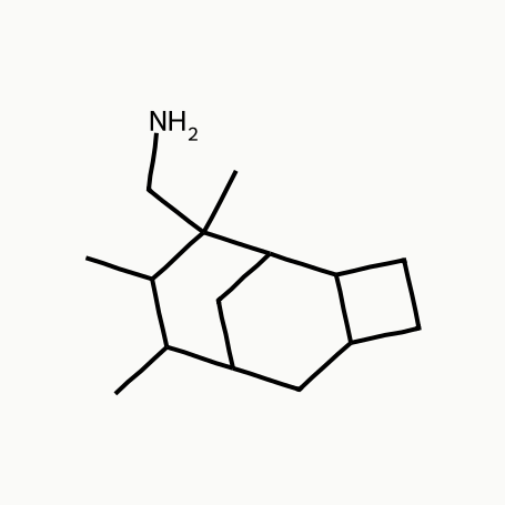 CC1C2CC3CCC3C(C2)C(C)(CN)C1C